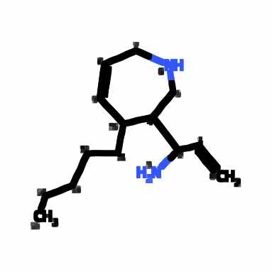 C=CC(N)C1CNCC=CC1CCCCC